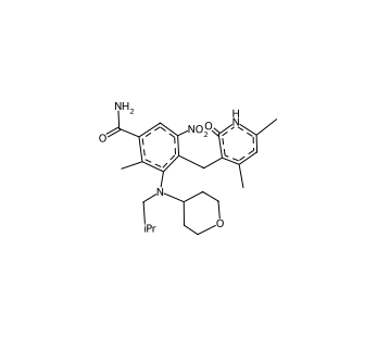 Cc1cc(C)c(Cc2c([N+](=O)[O-])cc(C(N)=O)c(C)c2N(CC(C)C)C2CCOCC2)c(=O)[nH]1